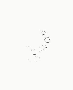 CC(C)(C)OC(=O)N[C@@H](CN1C[C@@H]2C[C@H]1C(=O)N2c1cccc(-c2nnn[nH]2)c1)C(=O)N1CCC[C@H]1C#N